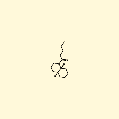 S=C(CCCCl)N1CCC[C@H]2CCCC[C@H]21